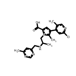 Cc1cc(CNC(C)Cn2c(C(=O)O)cc(-c3cc(Cl)ncc3C)c2C)ncn1